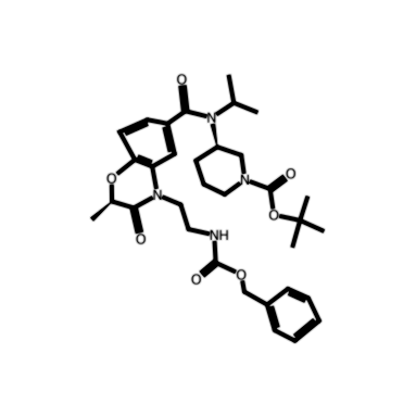 CC(C)N(C(=O)c1ccc2c(c1)N(CCNC(=O)OCc1ccccc1)C(=O)[C@@H](C)O2)[C@@H]1CCCN(C(=O)OC(C)(C)C)C1